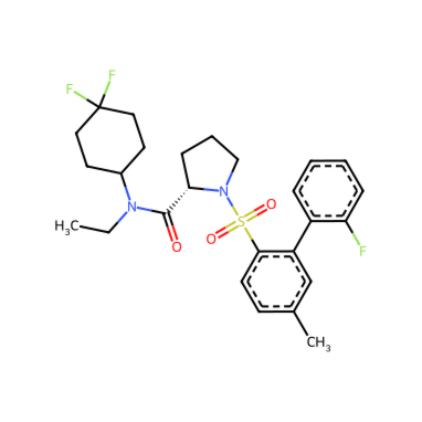 CCN(C(=O)[C@@H]1CCCN1S(=O)(=O)c1ccc(C)cc1-c1ccccc1F)C1CCC(F)(F)CC1